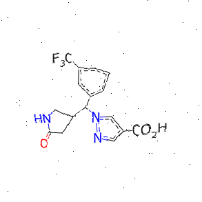 O=C1CC(C(c2cccc(C(F)(F)F)c2)n2cc(C(=O)O)cn2)CN1